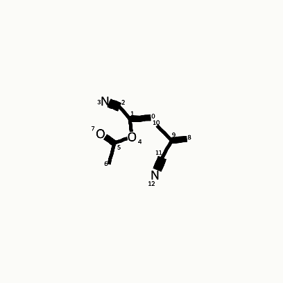 C=C(C#N)OC(C)=O.C=C(C)C#N